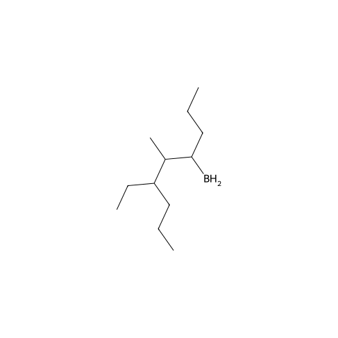 BC(CCC)C(C)C(CC)CCC